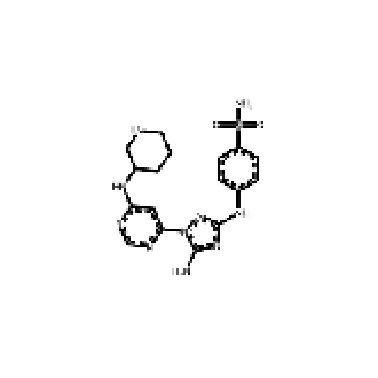 Nc1nc(Nc2ccc(S(N)(=O)=O)cc2)nn1-c1cc(NC2CCCNC2)ncn1